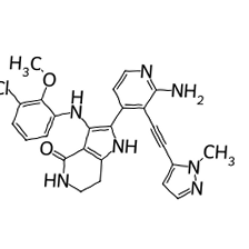 COc1c(Cl)cccc1Nc1c(-c2ccnc(N)c2C#Cc2ccnn2C)[nH]c2c1C(=O)NCC2